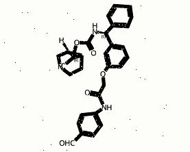 O=Cc1ccc(NC(=O)COc2cccc([C@@H](NC(=O)O[C@H]3CN4CCC3CC4)c3ccccc3)c2)cc1